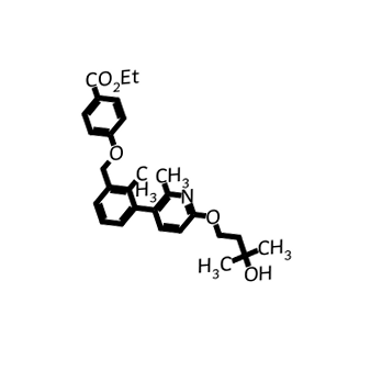 CCOC(=O)c1ccc(OCc2cccc(-c3ccc(OCCC(C)(C)O)nc3C)c2C)cc1